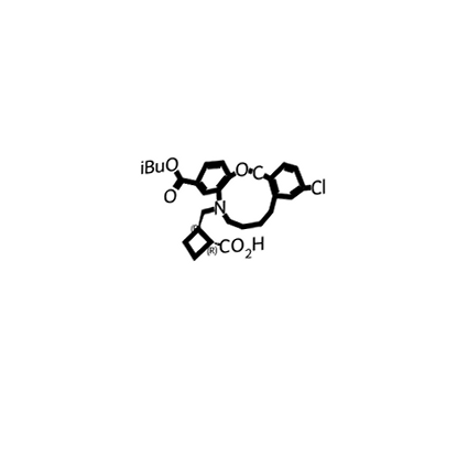 CC(C)COC(=O)c1ccc2c(c1)N(C[C@@H]1CC[C@H]1C(=O)O)CCCCc1cc(Cl)ccc1CO2